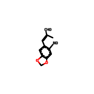 C/C(C=O)=C\c1cc2c(cc1N=O)OCO2